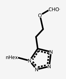 CCCCCCn1nnnc1CCO[C]=O